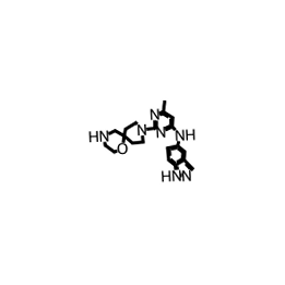 Cc1cc(Nc2ccc3[nH]ncc3c2)nc(N2CCC3(CC2)CNCCO3)n1